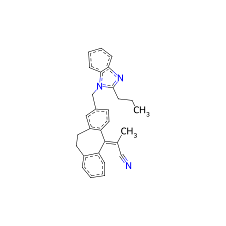 CCCc1nc2ccccc2n1Cc1ccc2c(c1)CCc1ccccc1/C2=C(/C)C#N